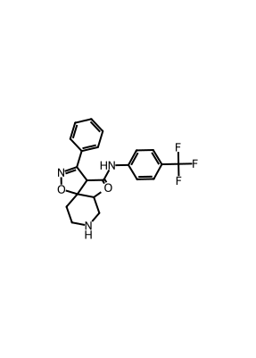 CC1CNCCC12ON=C(c1ccccc1)C2C(=O)Nc1ccc(C(F)(F)F)cc1